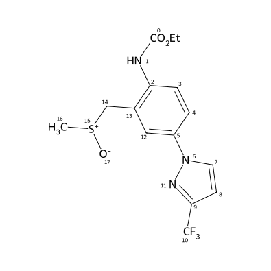 CCOC(=O)Nc1ccc(-n2ccc(C(F)(F)F)n2)cc1C[S+](C)[O-]